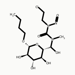 CCCCO[C@@H]1O[C@H](C(O)N(C)C(=O)N(CCCl)N=O)[C@@H](O)[C@H](O)[C@H]1O